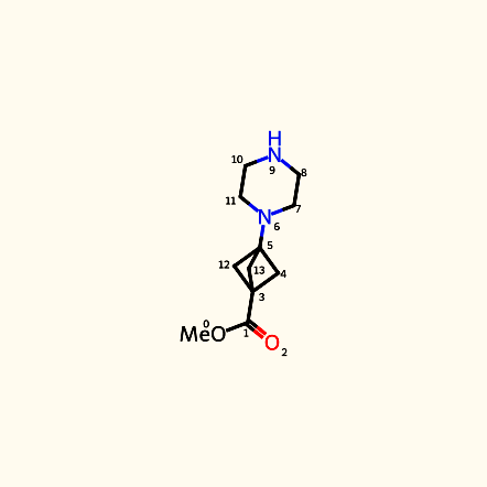 COC(=O)C12CC(N3CCNCC3)(C1)C2